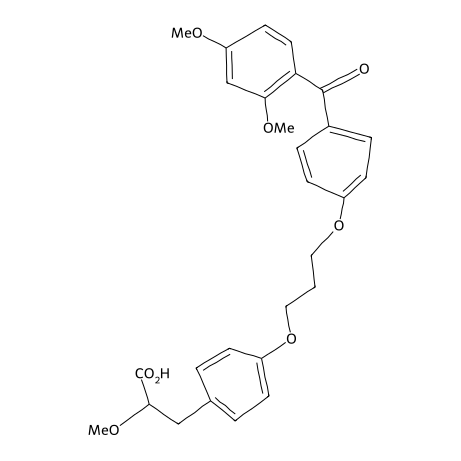 COc1ccc(C(=O)c2ccc(OCCCOc3ccc(CC(OC)C(=O)O)cc3)cc2)c(OC)c1